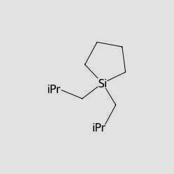 CC(C)C[Si]1(CC(C)C)CCCC1